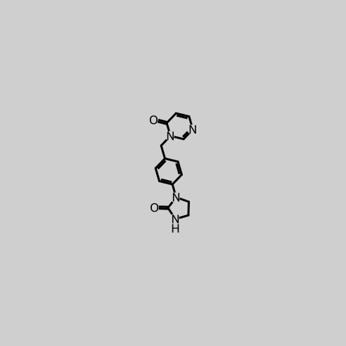 O=C1NCCN1c1ccc(Cn2cnccc2=O)cc1